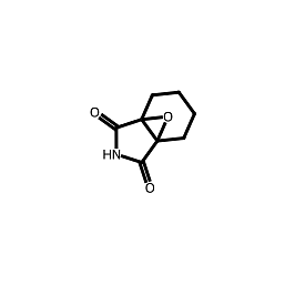 O=C1NC(=O)C23CCCCC12O3